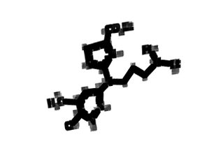 CCOC(=O)c1csc(N(CCCN(CC)CC)c2cc(C)c(Cl)nn2)n1